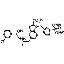 COP(=O)(OC)c1cccc(Cn2c(C(=O)O)cc3cc(C[C@@H](C)NC[C@H](O)c4cccc(Cl)c4)ccc32)c1